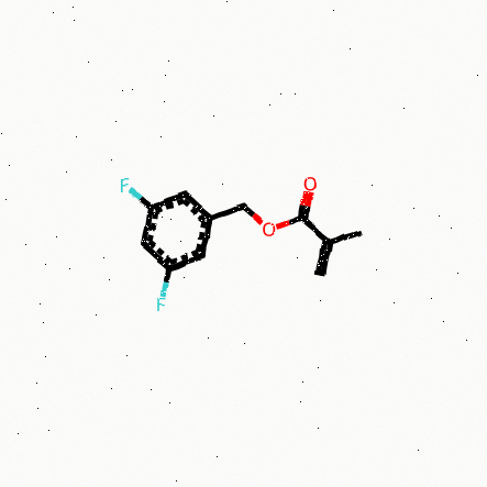 C=C(C)C(=O)OCc1cc(F)cc(F)c1